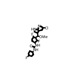 COC(c1c(F)ccc(NC(=O)Nc2ccc(F)cc2)c1F)c1c[nH]c2ncc(Cl)cc12